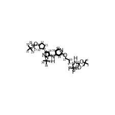 CC(C)(C)OC(=O)N[C@@H](CCCOc1cc(Nc2cc([C@H]3CC[C@@H](O[Si](C)(C)C(C)(C)C)C3)nn2C(C)(C)C)ccn1)C(F)(F)F